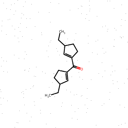 CCC1C=C(C(=O)C2=CC(CC)CC2)CC1